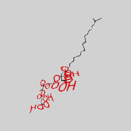 CC(C)CCCCCCCCCCCCCCCOC(=O)CC(CC(=O)O)(OC(=O)COC(=O)C(C)OC(=O)C(O)CC(=O)O)C(=O)O